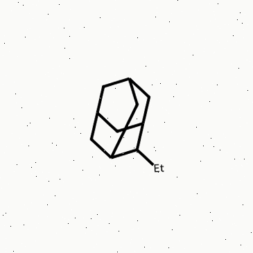 CC[C]1C2CC3CC(C2)CC1C3